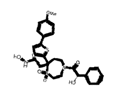 COc1ccc(-c2ccc(C3(CC(=O)NO)CCN(C(=O)[C@@H](O)c4ccccc4)CCS3(=O)=O)s2)cc1